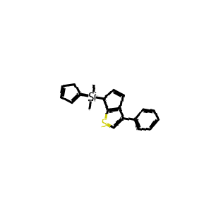 C[Si](C)(C1=CC=CC1)C1C=Cc2c(-c3ccccc3)csc21